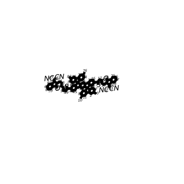 Cc1ccc(C2(c3ccc(C)cc3)c3cc(-c4ccc(/C=C5\C(=O)c6ccccc6C5=C(C#N)C#N)s4)ccc3-c3cc4c(cc32)-c2ccc(-c3ccc(CC/C=C5\C(=O)c6ccccc6C5=C(C#N)C#N)s3)cc2C4(c2ccc(C)cc2)c2ccc(C)cc2)cc1